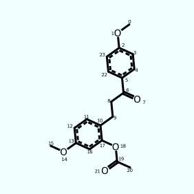 COc1ccc(C(=O)CCc2ccc(OC)cc2OC(C)=O)cc1